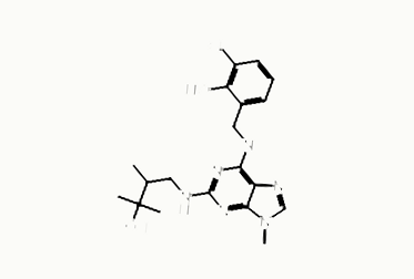 CC(CNc1nc(NCc2cccc(Cl)c2O)c2ncn(C)c2n1)C(C)(C)O